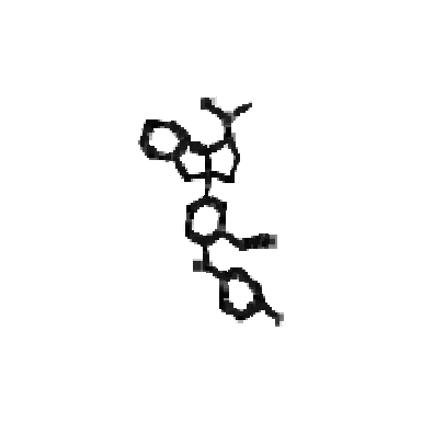 C[S+]([O-])N1CCC(Cc2ccccc2)(c2ccc(Nc3ccc(F)cc3)c(C=N)c2)C1=O